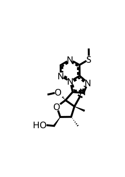 CO[C@@]1(c2cnc3c(SC)ncnn23)O[C@H](CO)[C@@H](C)[C@@]1(C)C#N